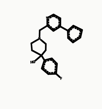 OC1(c2ccc(F)cc2)CCN(Cc2cc(-c3ccccc3)ccn2)CC1